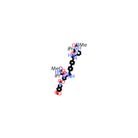 COC(=O)N[C@H](C(=O)N1C[C@@H](OC(=O)N2Cc3cc4c(cc3C2)OCO4)CC1c1nc(-c2ccc(-c3ccc(-c4c[nH]c([C@@H]5CCCCN5C(=O)[C@@H](NC(=O)OC)C(C)C)n4)cc3)cc2)c[nH]1)C(C)C